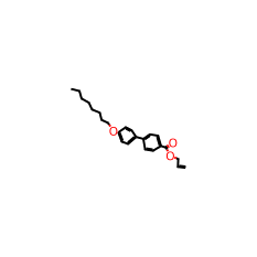 C=CCOC(=O)c1ccc(-c2ccc(OCCCCCCCC)cc2)cc1